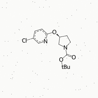 CC(C)(C)OC(=O)N1CC[C@H](Oc2ccc(Cl)cn2)C1